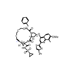 COc1ccc2c(O[C@@H]3C[C@H]4C(=O)N[C@]5(C(=O)NS(=O)(=O)C6CC6)C[C@H]5/C=C\CCCCO[C@H](Cc5ccccc5)C(=O)N4C3)cc(-c3nc(C(C)C)cs3)nc2c1C